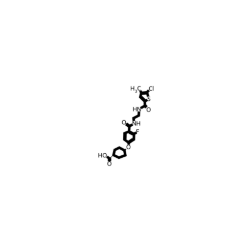 Cc1cc(C(=O)NCCNC(=O)c2ccc(O[C@H]3CC[C@@H](C(=O)O)CC3)cc2F)sc1Cl